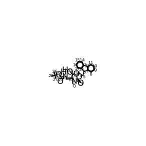 CN(C(=O)OCC1c2ccccc2-c2ccccc21)[C@@H](CNC(=O)OC(C)(C)C)C(=O)O